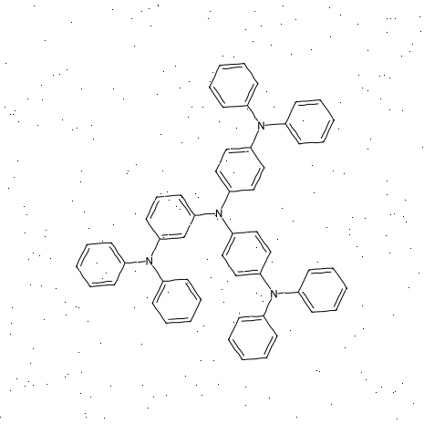 c1ccc(N(c2ccccc2)c2ccc(N(c3ccc(N(c4ccccc4)c4ccccc4)cc3)c3cccc(N(c4ccccc4)c4ccccc4)c3)cc2)cc1